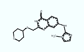 Cn1ccnc1Nc1ccc2c(=O)[nH]c(CSC3CCOCC3)nc2c1